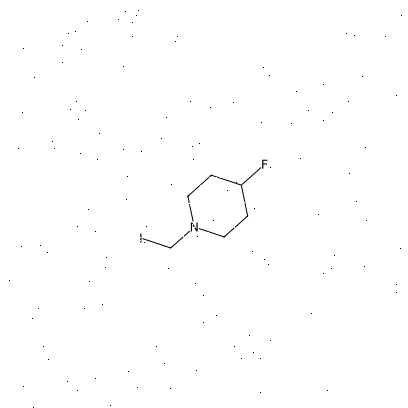 FC1CCN(CI)CC1